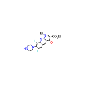 CCOC(=O)c1cn(CC)c2nc3c(F)c(N4CCNCC4)c(F)cc3cc2c1=O